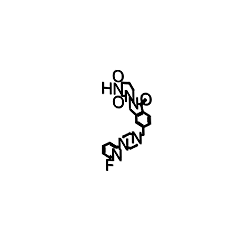 O=C1CCN(N2Cc3cc(CN4CCN(c5cccc(F)n5)CC4)ccc3C2=O)C(=O)N1